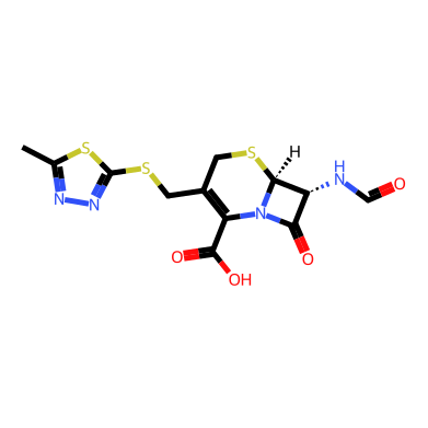 Cc1nnc(SCC2=C(C(=O)O)N3C(=O)[C@@H](NC=O)[C@@H]3SC2)s1